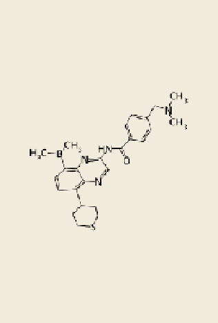 CB(C)c1ccc(C2CCSCC2)c2ncc(NC(=O)c3ccc(CN(C)C)cc3)nc12